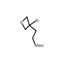 CCCCCCCC1(CC)COC1